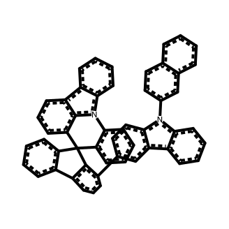 c1ccc2c(c1)-c1cccc(-c3ccc4c(c3)c3ccccc3n4-c3ccc4ccccc4c3)c1C21c2ccccc2-n2c3ccccc3c3cccc1c32